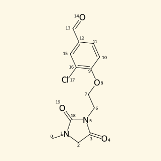 CN1CC(=O)N(CCOc2ccc(C=O)cc2Cl)C1=O